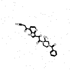 C#CCC(=O)c1ccnc2c(C(=O)C(=O)N3CCN(C(=O)c4ccccc4)CC3C)c[nH]c12